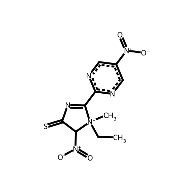 CC[N+]1(C)C(c2ncc([N+](=O)[O-])cn2)=NC(=S)C1[N+](=O)[O-]